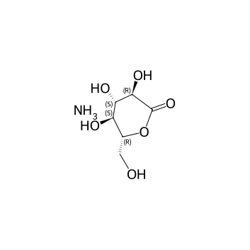 N.O=C1O[C@H](CO)[C@@H](O)[C@H](O)[C@H]1O